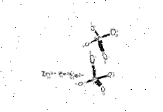 O=P([O-])([O-])[O-].O=P([O-])([O-])[O-].[Ca+2].[Fe+2].[Zn+2]